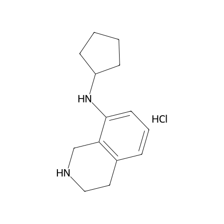 Cl.c1cc2c(c(NC3CCCC3)c1)CNCC2